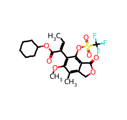 CC=C(C(=O)OC1CCCCC1)c1c(OC)c(C)c2c(c1OS(=O)(=O)C(F)(F)F)C(=O)OC2